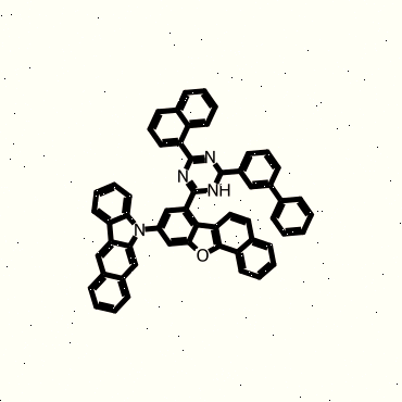 c1ccc(-c2cccc(C3N=C(c4cccc5ccccc45)N=C(c4cc(-n5c6ccccc6c6cc7ccccc7cc65)cc5oc6c7ccccc7ccc6c45)N3)c2)cc1